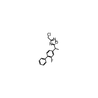 CC(c1ccc(-c2ccccc2)c(F)c1)c1nc(CCl)no1